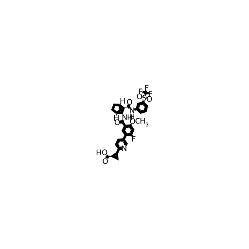 COc1cc(F)c(-c2ccc(C3C[C@H]3C(=O)O)nc2)cc1C(=O)N[C@@H]1[C@H]2CC[C@H](C2)[C@@H]1C(=O)Nc1cccc(S(=O)(=O)C(F)(F)F)c1